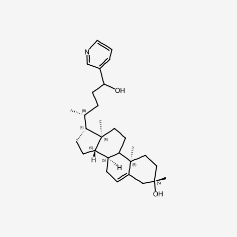 C[C@H](CCC(O)c1cccnc1)[C@H]1CC[C@H]2[C@@H]3CC=C4C[C@@](C)(O)CC[C@]4(C)C3CC[C@]12C